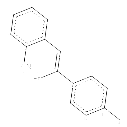 CC/C(=C\c1ccccc1C#N)c1ccc(C)cc1